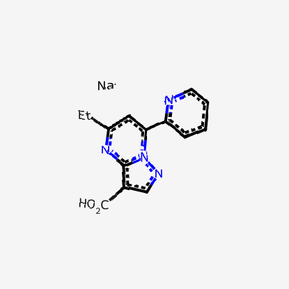 CCc1cc(-c2ccccn2)n2ncc(C(=O)O)c2n1.[Na]